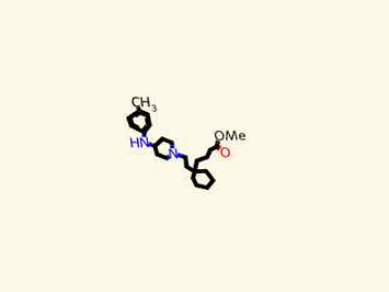 COC(=O)CCCC1(CCN2CCC(Nc3ccc(C)cc3)CC2)CCCCC1